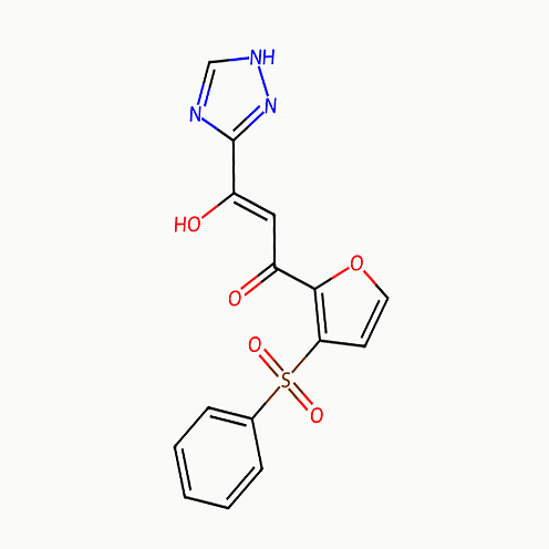 O=C(C=C(O)c1nc[nH]n1)c1occc1S(=O)(=O)c1ccccc1